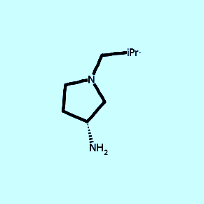 C[C](C)CN1CC[C@@H](N)C1